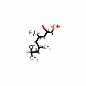 OCC(I)CC(CC(CC(F)(C(F)(F)F)C(F)(F)F)C(F)(F)F)C(F)(F)F